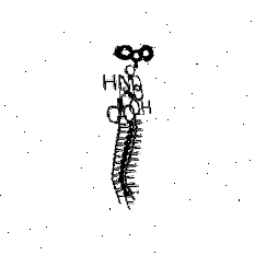 O=C(C[C@H](NC(=O)OCC1c2ccccc2-c2ccccc21)C(=O)O)OC(F)(F)C(F)(F)C(F)(F)C(F)(F)C(F)(F)C(F)(F)C(F)(F)C(F)(F)C(F)(F)C(F)(F)C(F)(F)C(F)(F)F